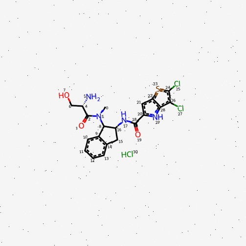 CN(C(=O)[C@@H](N)CO)C1c2ccccc2CC1NC(=O)c1cc2sc(Cl)c(Cl)c2[nH]1.Cl